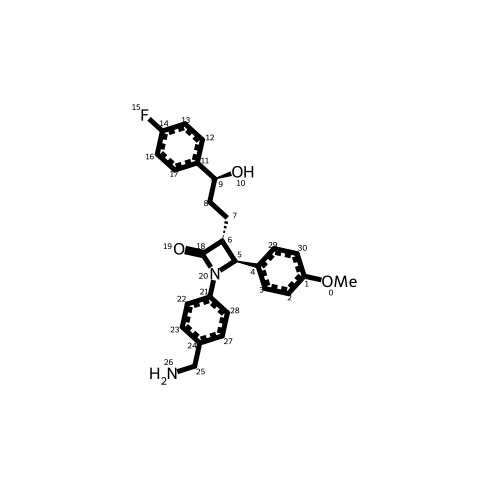 COc1ccc([C@@H]2[C@@H](CC[C@H](O)c3ccc(F)cc3)C(=O)N2c2ccc(CN)cc2)cc1